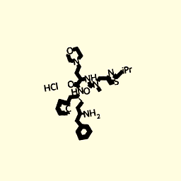 CC(C)c1nc(CN(C)C(=O)NC(CCN2CCOCC2)C(=O)N[C@H](CC[C@@H](N)Cc2ccccc2)Cc2ccccc2)cs1.Cl